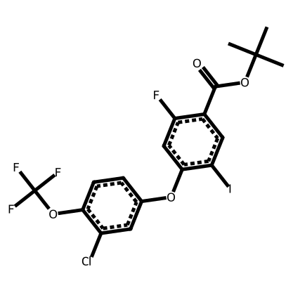 CC(C)(C)OC(=O)c1cc(I)c(Oc2ccc(OC(F)(F)F)c(Cl)c2)cc1F